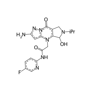 CC(C)N1Cc2c(n(CC(=O)Nc3ccc(F)cn3)c3cc(N)nn3c2=O)C1O